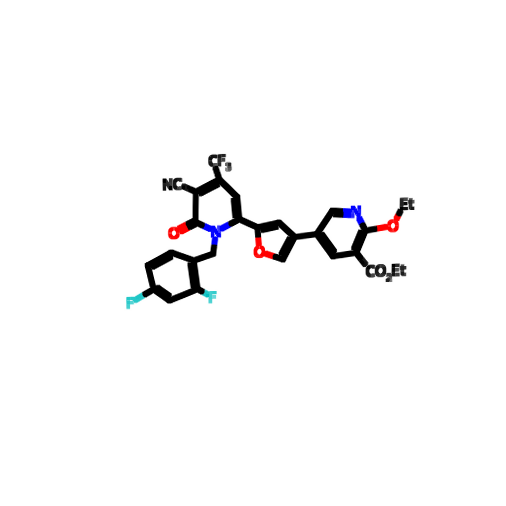 CCOC(=O)c1cc(-c2coc(-c3cc(C(F)(F)F)c(C#N)c(=O)n3Cc3ccc(F)cc3F)c2)cnc1OCC